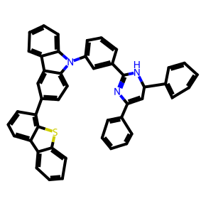 C1=C(c2ccccc2)N=C(c2cccc(-n3c4ccccc4c4cc(-c5cccc6c5sc5ccccc56)ccc43)c2)NC1c1ccccc1